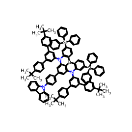 CC(C)(C)c1ccc(-c2cc(-c3ccc(C(C)(C)C)cc3)cc(N3c4cc([Si](c5ccccc5)(c5ccccc5)c5ccccc5)ccc4B4c5ccc([Si](c6ccccc6)(c6ccccc6)c6ccccc6)cc5N(c5cc(-c6ccc(C(C)(C)C)cc6)cc(-c6ccc(C(C)(C)C)cc6)c5)c5cc(-c6ccc(-n7c8ccccc8c8ccccc87)cc6)cc3c54)c2)cc1